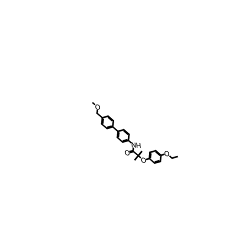 CCOc1ccc(OC(C)(C)C(=O)Nc2ccc(-c3ccc(COC)cc3)cc2)cc1